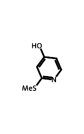 CSc1cc(O)ccn1